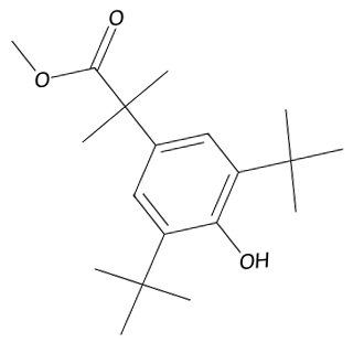 COC(=O)C(C)(C)c1cc(C(C)(C)C)c(O)c(C(C)(C)C)c1